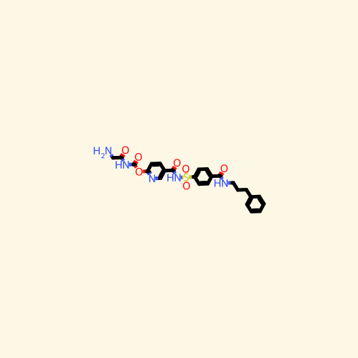 NCC(=O)NC(=O)Oc1ccc(C(=O)NS(=O)(=O)c2ccc(C(=O)NCCCc3ccccc3)cc2)cn1